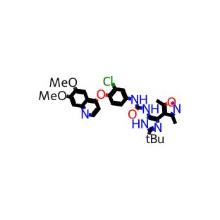 COc1cc2nccc(Oc3ccc(NC(=O)Nc4[nH]c(C(C)(C)C)nc4-c4c(C)noc4C)cc3Cl)c2cc1OC